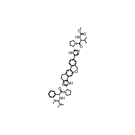 COC(=O)N[C@H](C(=O)N1CCC[C@H]1c1ncc(-c2ccc3c(c2)COc2cc4c(cc2-3)CCc2nc([C@@H]3CCCN3C(=O)[C@H](NC(N(C)C)N(C)C)c3ccccc3)[nH]c2-4)[nH]1)C(C)C